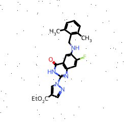 CCOC(=O)c1cnn(-c2nc3cc(F)c(NCc4c(C)cccc4C)cc3c(=O)[nH]2)c1